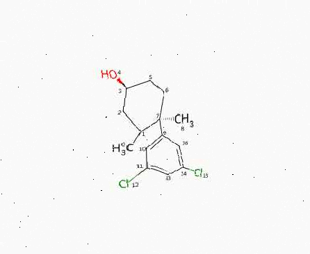 CC1C[C@@H](O)CC[C@@]1(C)c1cc(Cl)cc(Cl)c1